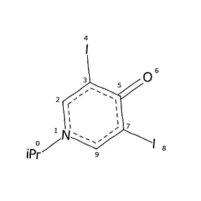 CC(C)n1cc(I)c(=O)c(I)c1